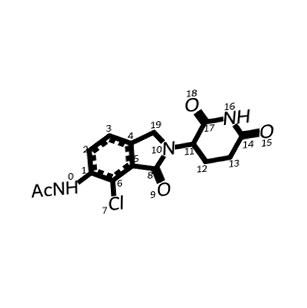 CC(=O)Nc1ccc2c(c1Cl)C(=O)N(C1CCC(=O)NC1=O)C2